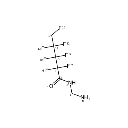 NCNC(=O)C(F)(F)C(F)(F)C(F)(F)CF